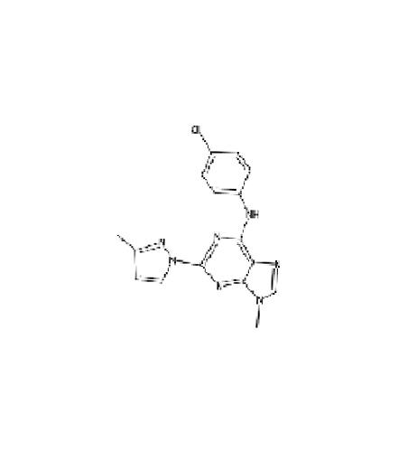 Cc1ccn(-c2nc(Nc3ccc(Cl)cc3)c3ncn(C)c3n2)n1